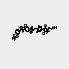 Cc1cc(N2C(=O)N(CCO)C(C)(C)C2=O)cc(C)c1/C=C/S(=O)(=O)N1CCC2(CC1)N=C(c1cccc(OC(F)(F)F)c1)NC2=O